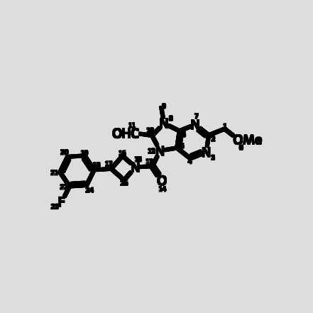 COCc1ncc2c(n1)N(C)C(C=O)N2C(=O)N1CC(c2cccc(F)c2)C1